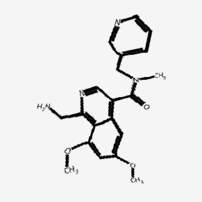 COc1cc(OC)c2c(CN)ncc(C(=O)N(C)Cc3cccnc3)c2c1